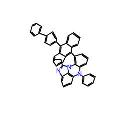 CCc1nc2cccc3c2n1-c1c(-c2c4ccccc4c(-c4ccc(-c5ccccc5)cc4)c4ccccc24)cccc1N3c1ccccc1